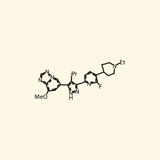 CCN1CCC(c2ccc(-c3n[nH]c(-c4cc(OC)c5ncnn5c4)c3C(C)C)nc2F)CC1